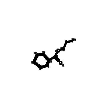 O=C(OSCF)c1ccccc1